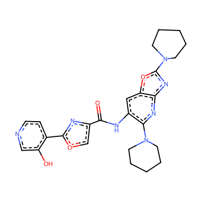 O=C(Nc1cc2oc(N3CCCCC3)nc2nc1N1CCCCC1)c1coc(-c2ccncc2O)n1